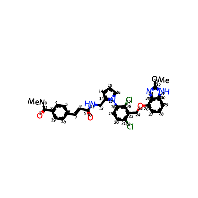 CNC(=O)c1ccc(/C=C/C(=O)NCc2cccn2-c2ccc(Cl)c(COc3cccc4[nH]c(OC)nc34)c2Cl)cc1